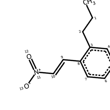 CCCc1ccccc1C=C[N+](=O)[O-]